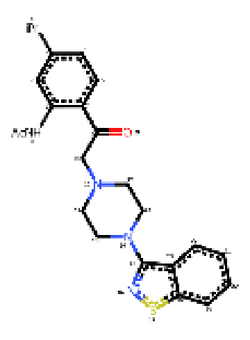 CC(=O)Nc1cc(C(C)C)ccc1C(=O)CN1CCN(c2nsc3ccccc23)CC1